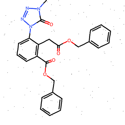 Cn1nnn(-c2cccc(C(=O)OCc3ccccc3)c2CC(=O)OCc2ccccc2)c1=O